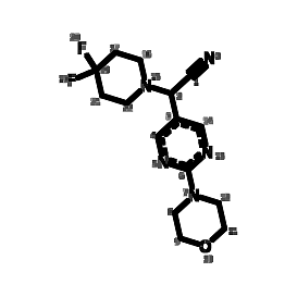 N#CC(c1cnc(N2CCOCC2)nc1)N1CCC(F)(F)CC1